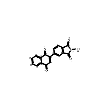 O=C1C=C(c2ccc3c(c2)C(=O)N(O)C3=O)C(=O)c2ccccc21